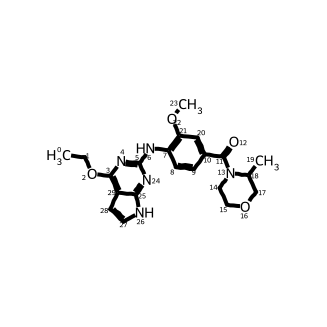 CCOc1nc(Nc2ccc(C(=O)N3CCOCC3C)cc2OC)nc2[nH]ccc12